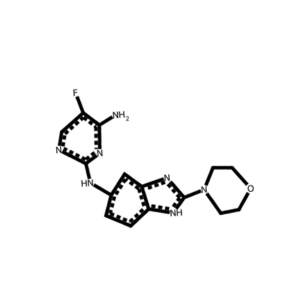 Nc1nc(Nc2ccc3[nH]c(N4CCOCC4)nc3c2)ncc1F